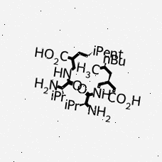 CCCC[C@@H](C)C[C@H](CNC(=O)[C@@H](N)C(C)C)CC(=O)O.CCC[C@@H](C)CCC(CNC(=O)[C@@H](N)C(C)C)C(=O)O